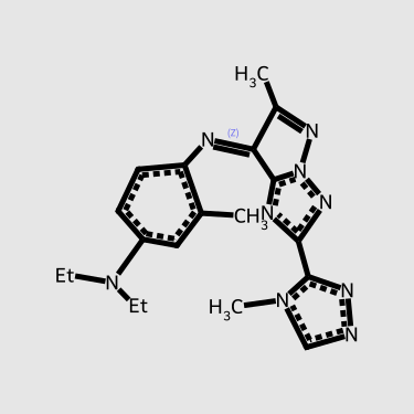 CCN(CC)c1ccc(/N=C2/C(C)=Nn3nc(-c4nncn4C)nc32)c(C)c1